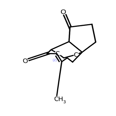 C/C1=C/C(=O)C2CCCC3(CCC(=O)C23)CC1